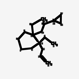 C=CC[Si]1(CC)CCCCC1(CC)CCN1CC1